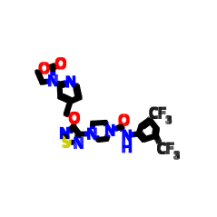 O=C(Nc1cc(C(F)(F)F)cc(C(F)(F)F)c1)N1CCN(c2nsnc2OCc2ccnc(N3CCOC3=O)c2)CC1